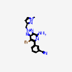 Cn1ccc(Cn2nc3c(N)nc(-c4cccc(C#N)c4)c(Br)c3n2)n1